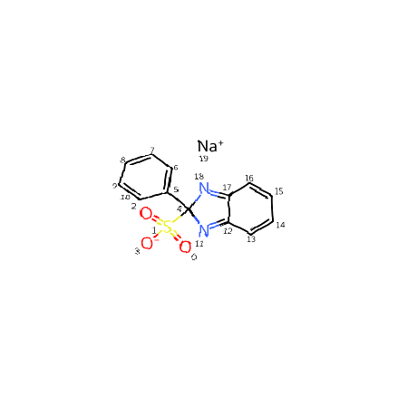 O=S(=O)([O-])C1(c2ccccc2)N=c2ccccc2=N1.[Na+]